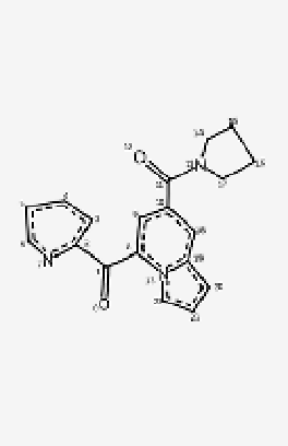 O=C(c1ccccn1)c1cc(C(=O)N2CCCC2)cc2cccn12